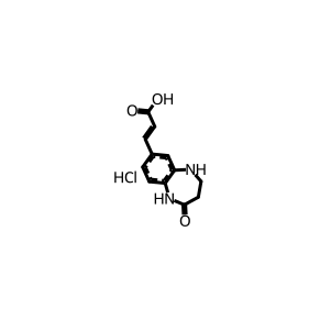 Cl.O=C(O)C=Cc1ccc2c(c1)NCCC(=O)N2